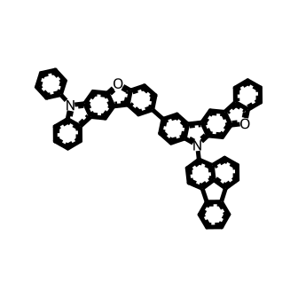 c1ccc(-n2c3ccccc3c3cc4c(cc32)oc2ccc(-c3ccc5c(c3)c3cc6c(cc3n5-c3ccc5c7c(cccc37)-c3ccccc3-5)oc3ccccc36)cc24)cc1